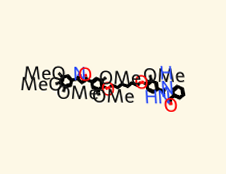 COc1cc(C2NC(=O)c3ccccc3N2)ccc1OCCCCCCOc1c(OC)cc(C2CC(c3cc(OC)c(OC)c(OC)c3)=NO2)cc1OC